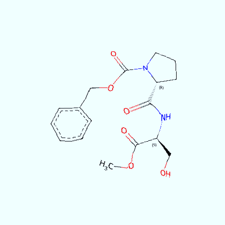 COC(=O)[C@H](CO)NC(=O)[C@H]1CCCN1C(=O)OCc1ccccc1